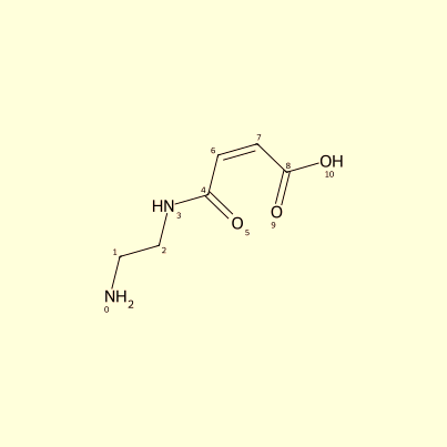 NCCNC(=O)/C=C\C(=O)O